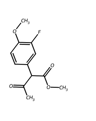 COC(=O)C(C(C)=O)c1ccc(OC)c(F)c1